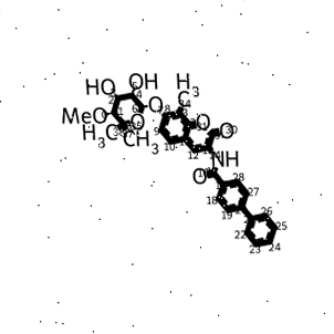 CO[C@@H]1[C@@H](O)[C@H](O)[C@H](Oc2ccc3cc(NC(=O)c4ccc(-c5ccccc5)cc4)c(=O)oc3c2C)OC1(C)C